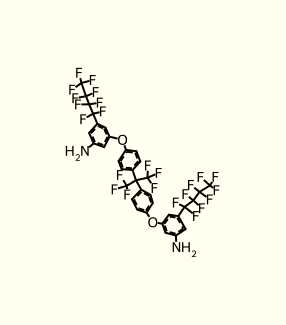 Nc1cc(Oc2ccc(C(c3ccc(Oc4cc(N)cc(C(F)(F)C(F)(F)C(F)(F)C(F)(F)F)c4)cc3)(C(F)(F)F)C(F)(F)F)cc2)cc(C(F)(F)C(F)(F)C(F)(F)C(F)(F)F)c1